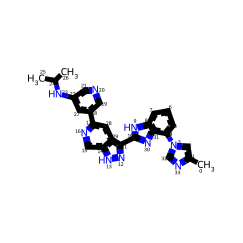 Cc1cn(-c2cccc3[nH]c(-c4n[nH]c5cnc(-c6cncc(NC(C)C)c6)cc45)nc23)cn1